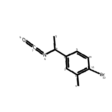 Cc1cc(C(C)N=C=O)ccc1Br